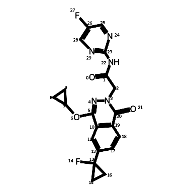 O=C(Cn1nc(OC2CC2)c2cc(C3(F)CC3)ccc2c1=O)Nc1ncc(F)cn1